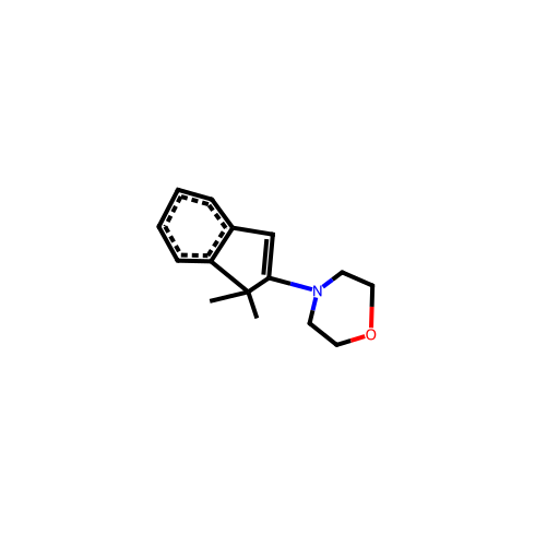 CC1(C)C(N2CCOCC2)=Cc2ccccc21